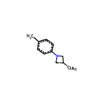 CC(=O)OC1CN(c2ccc(C)cc2)C1